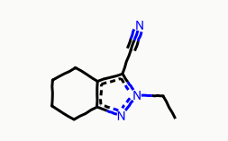 CCn1nc2c(c1C#N)CCCC2